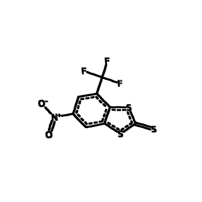 O=[N+]([O-])c1cc(C(F)(F)F)c2sc(=S)sc2c1